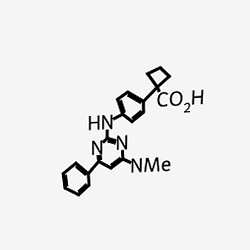 CNc1cc(-c2ccccc2)nc(Nc2ccc(C3(C(=O)O)CCC3)cc2)n1